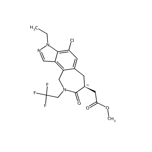 CCn1ncc2c3c(cc(Cl)c21)C[C@@H](CC(=O)OC)C(=O)N(CC(F)(F)F)C3